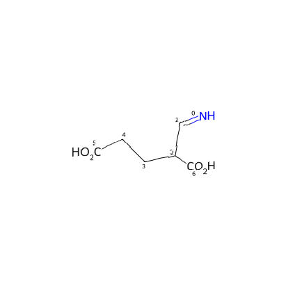 N=CC(CCC(=O)O)C(=O)O